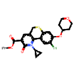 CC(C)OC(=O)c1cc2c(n(C3CC3)c1=O)-c1cc(Cl)c(OC3CCOCC3)cc1SC2